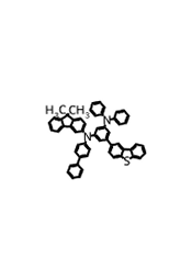 CC1(C)c2ccccc2-c2cc(N(c3ccc(-c4ccccc4)cc3)c3cc(-c4ccc5sc6ccccc6c5c4)cc(N(c4ccccc4)c4ccccc4)c3)ccc21